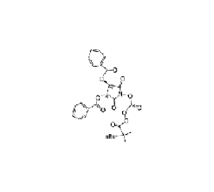 CCCCC(C)(C)C(=O)OOC(=O)ON1C(=O)[C@H](OC(=O)c2ccccc2)[C@@H](OC(=O)c2ccccc2)C1=O